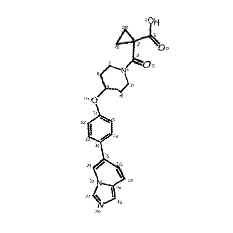 O=C(O)C1(C(=O)N2CCC(Oc3ccc(-c4ccc5cncn5c4)cc3)CC2)CC1